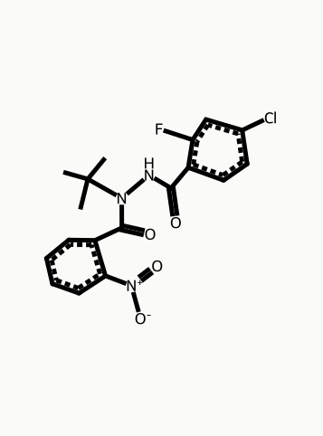 CC(C)(C)N(NC(=O)c1ccc(Cl)cc1F)C(=O)c1ccccc1[N+](=O)[O-]